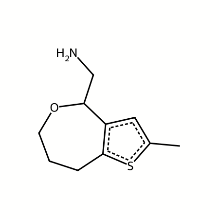 Cc1cc2c(s1)CCCOC2CN